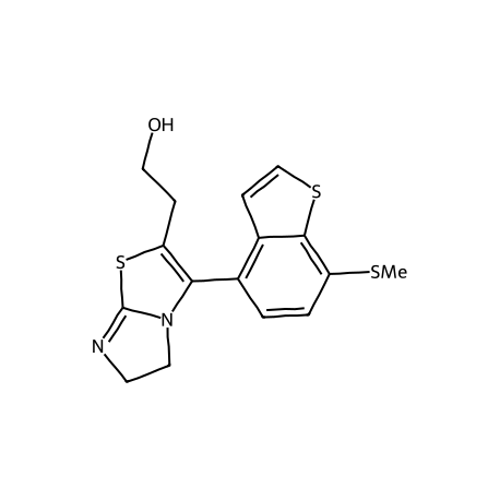 CSc1ccc(C2=C(CCO)SC3=NCCN32)c2ccsc12